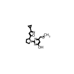 COCc1cc(O)nc(N2CCCC2c2cc(C3CC3)no2)n1